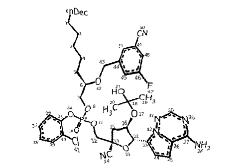 CCCCCCCCCCCCCCC[C@H](COP(=O)(OC[C@]1(C#N)C[C@@H](OC(C)(C)O)[C@H](c2ccc3c(N)ncnn23)O1)Oc1ccccc1Cl)OCc1cc(F)cc(C#N)c1